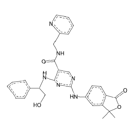 CC1(C)OC(=O)c2ccc(Nc3ncc(C(=O)NCc4ccccn4)c(NC(CO)c4ccccc4)n3)cc21